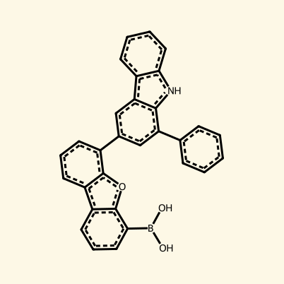 OB(O)c1cccc2c1oc1c(-c3cc(-c4ccccc4)c4[nH]c5ccccc5c4c3)cccc12